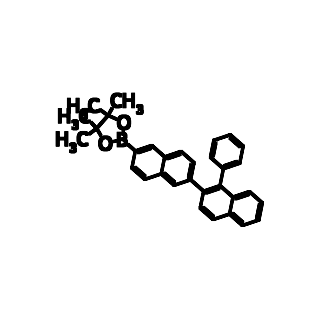 CC1(C)OB(c2ccc3cc(-c4ccc5ccccc5c4-c4ccccc4)ccc3c2)OC1(C)C